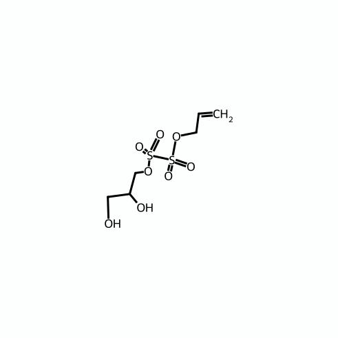 C=CCOS(=O)(=O)S(=O)(=O)OCC(O)CO